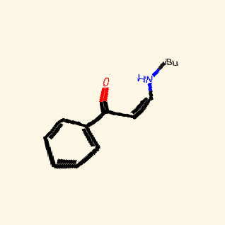 CCC(C)N/C=C\C(=O)c1ccccc1